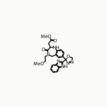 COCCN1Cc2cc(C3(c4nc5ccccc5[nH]4)N=NCO3)ccc2NC(CC(=O)OC)C1=O